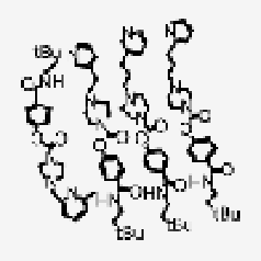 CC(C)(C)CCNC(=O)c1ccc(OC(=O)N2CCN(CCCc3ccccn3)CC2)cc1.CC(C)(C)CCNC(=O)c1ccc(OC(=O)N2CCN(CCCc3cccnc3)CC2)cc1.CC(C)(C)CCNC(=O)c1ccc(OC(=O)N2CCN(CCc3cccnc3)CC2)cc1.Cc1cccc(CN2CCN(C(=O)Oc3ccc(C(=O)NCCC(C)(C)C)cc3)CC2)n1